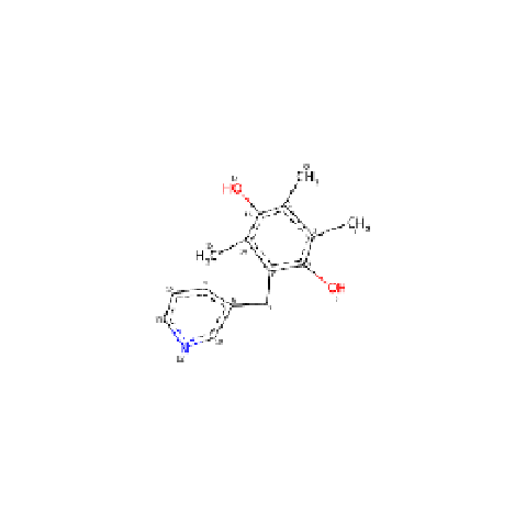 Cc1c(C)c(O)c(Cc2cccnc2)c(C)c1O